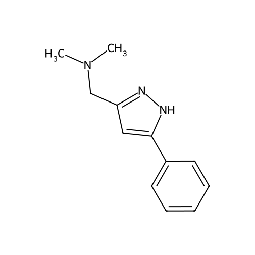 CN(C)Cc1cc(-c2ccccc2)[nH]n1